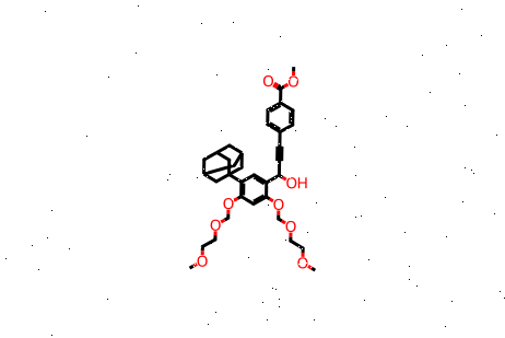 COCCOCOc1cc(OCOCCOC)c(C23CC4CC(CC(C4)C2)C3)cc1C(O)C#Cc1ccc(C(=O)OC)cc1